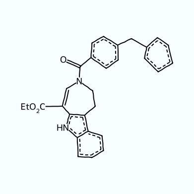 CCOC(=O)C1=CN(C(=O)c2ccc(Cc3ccccc3)cc2)CCc2c1[nH]c1ccccc21